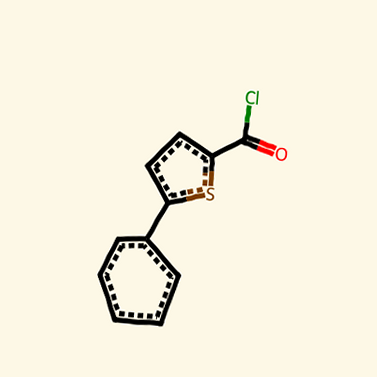 O=C(Cl)c1ccc(-c2ccccc2)s1